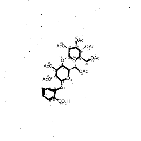 CC(=O)OC[C@H]1O[C@@H](Sc2ccccc2C(=O)O)[C@H](OC(C)=O)[C@@H](OC(C)=O)[C@@H]1O[C@H]1O[C@H](COC(C)=O)[C@@H](OC(C)=O)[C@H](OC(C)=O)[C@H]1OC(C)=O